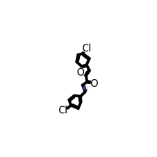 O=C(/C=C/c1ccc(Cl)cc1)c1cc2cc(Cl)ccc2o1